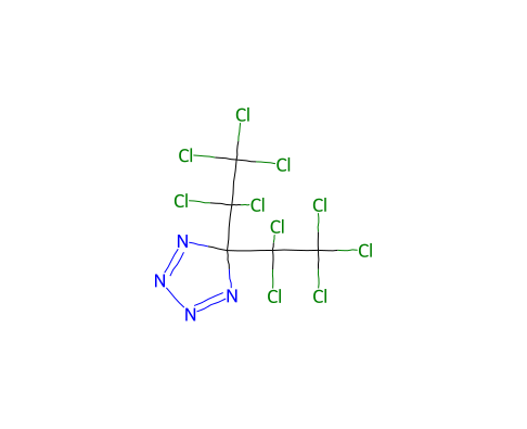 ClC(Cl)(Cl)C(Cl)(Cl)C1(C(Cl)(Cl)C(Cl)(Cl)Cl)N=NN=N1